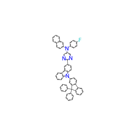 Fc1ccc(N(c2cnc(-c3ccc4c(c3)c3ccccc3n4-c3ccc4c(c3)C(c3ccccc3)(c3ccccc3)c3ccccc3-4)nc2)c2ccc3ccccc3c2)cc1